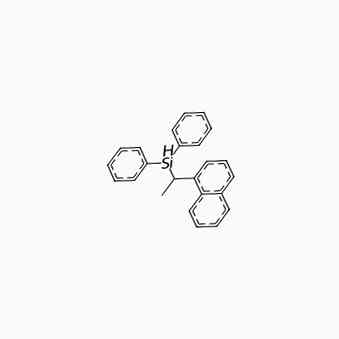 CC(c1cccc2ccccc12)[SiH](c1ccccc1)c1ccccc1